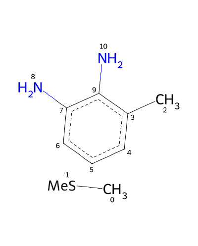 CSC.Cc1cccc(N)c1N